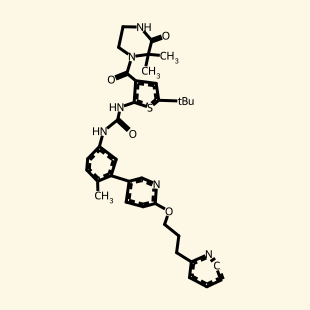 Cc1ccc(NC(=O)Nc2sc(C(C)(C)C)cc2C(=O)N2CCNC(=O)C2(C)C)cc1-c1ccc(OCCCc2ccccn2)nc1